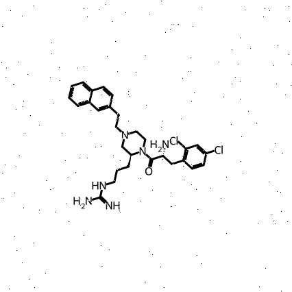 N=C(N)NCCC[C@H]1CN(CCc2ccc3ccccc3c2)CCN1C(=O)[C@H](N)Cc1ccc(Cl)cc1Cl